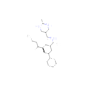 CC[C@@H](N[C@H](C)C1CNC(C)NC1)C1CC(C(C)CCC(C)C)=CC(C2CCCCC2)C1